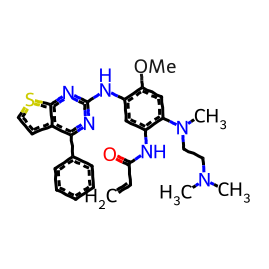 C=CC(=O)Nc1cc(Nc2nc(-c3ccccc3)c3ccsc3n2)c(OC)cc1N(C)CCN(C)C